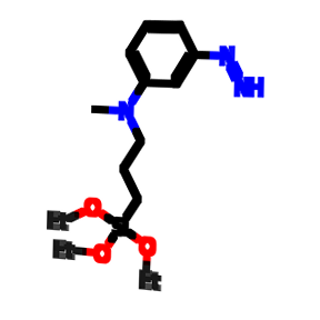 CCO[Si](CCCN(C)c1cccc(N=N)c1)(OCC)OCC